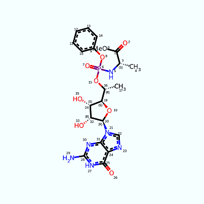 COC(=O)[C@H](C)NP(=O)(Oc1ccccc1)O[C@H](C)[C@H]1O[C@@H](n2cnc3c(=O)[nH]c(N)nc32)[C@H](O)[C@@H]1O